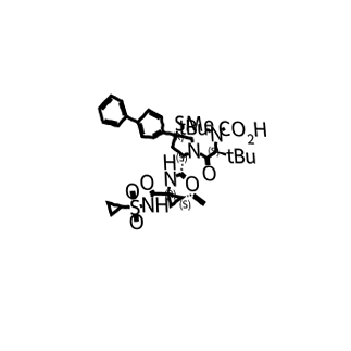 C=C[C@@H]1C[C@]1(NC(=O)[C@@H]1C[C@@](SC)(c2ccc(-c3ccccc3)cc2)CN1C(=O)[C@@H](N(C(=O)O)C(C)(C)C)C(C)(C)C)C(=O)NS(=O)(=O)C1CC1